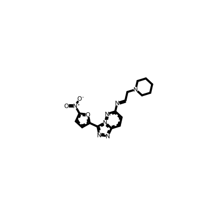 O=[N+]([O-])c1ccc(-c2nnc3ccc(N=CCN4CCCCC4)nn23)o1